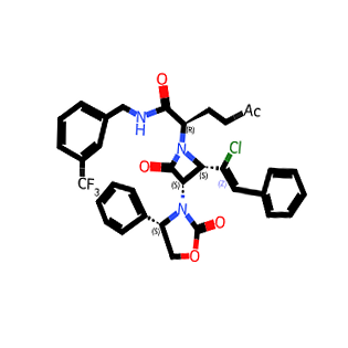 CC(=O)CC[C@H](C(=O)NCc1cccc(C(F)(F)F)c1)N1C(=O)[C@@H](N2C(=O)OC[C@@H]2c2ccccc2)[C@H]1/C(Cl)=C/c1ccccc1